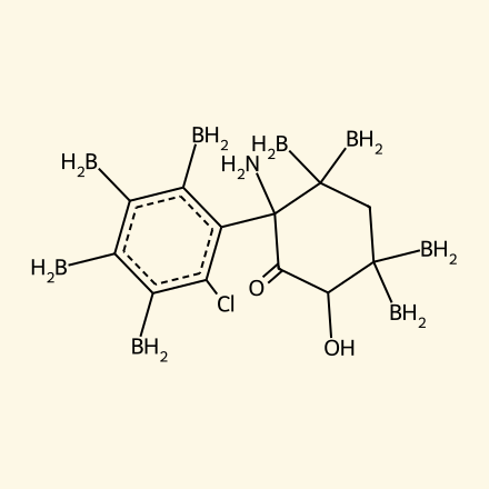 Bc1c(B)c(B)c(C2(N)C(=O)C(O)C(B)(B)CC2(B)B)c(Cl)c1B